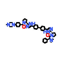 CN1CCN(c2ccc(C(=O)N3CCC[C@H]3c3ncc(-c4ccc(-c5ccc(-c6cnc([C@@H]7CCCN7C(=O)C(c7ccccc7)N(C)C)[nH]6)cc5)cc4)[nH]3)cc2)CC1